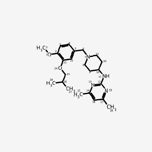 COc1ccc(CN2CCC(Nc3nc(C)cc(C)n3)CC2)cc1OCC(C)C